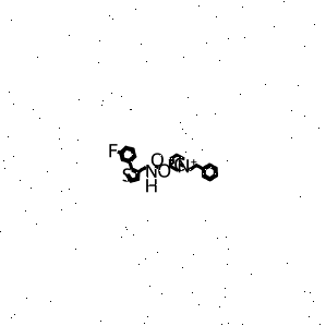 O=C(NCc1ccsc1-c1cccc(F)c1)OC1C[N+]2(CCc3ccccc3)CCC1CC2